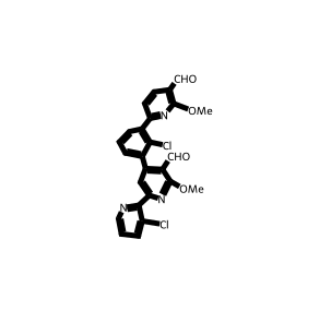 COc1nc(-c2cccc(-c3cc(-c4ncccc4Cl)nc(OC)c3C=O)c2Cl)ccc1C=O